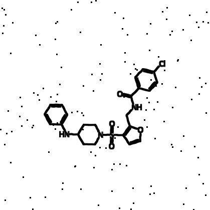 O=C(NCc1occc1S(=O)(=O)N1CCC(Nc2ccccc2)CC1)c1ccc(Cl)cc1